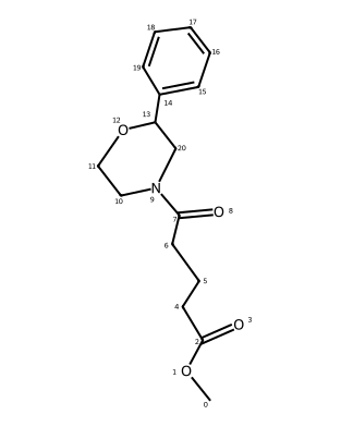 COC(=O)CCCC(=O)N1CCOC(c2ccccc2)C1